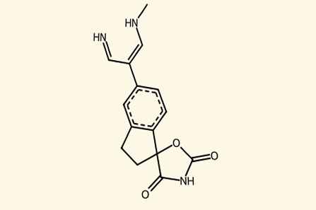 CN/C=C(\C=N)c1ccc2c(c1)CCC21OC(=O)NC1=O